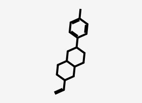 C=CC1CCC2CC(c3ccc(C)cc3)CCC2C1